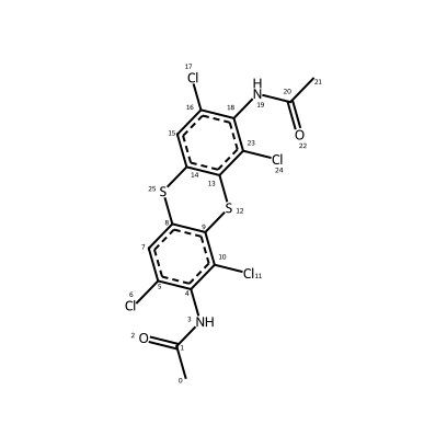 CC(=O)Nc1c(Cl)cc2c(c1Cl)Sc1c(cc(Cl)c(NC(C)=O)c1Cl)S2